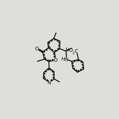 Cc1cc(C(C)Nc2ccccc2C(=O)O)c2oc(-c3ccnc(C)c3)c(C)c(=O)c2c1